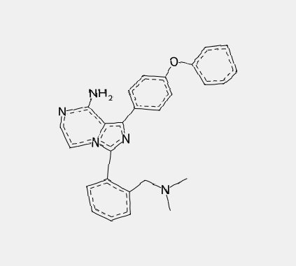 CN(C)Cc1ccccc1-c1nc(-c2ccc(Oc3ccccc3)cc2)c2c(N)nccn12